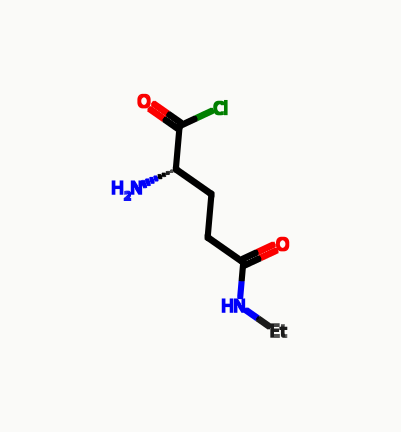 CCNC(=O)CC[C@H](N)C(=O)Cl